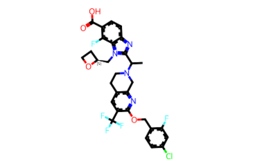 CC(c1nc2ccc(C(=O)O)c(F)c2n1C[C@@H]1CCO1)N1CCc2cc(C(F)(F)F)c(OCc3ccc(Cl)cc3F)nc2C1